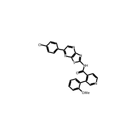 COc1ccccc1-c1cnccc1C(=O)Nc1nc2ncc(-c3ccc(Cl)cc3)nc2s1